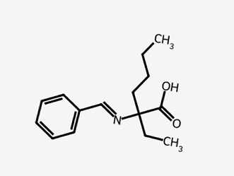 CCCCC(CC)(N=Cc1ccccc1)C(=O)O